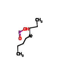 CCC[CH2][Al][CH2]CC.O=PO